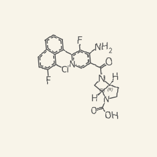 Nc1c(C(=O)N2C[C@@H]3[C@H]2CCN3C(=O)O)cnc(-c2cccc3ccc(F)c(Cl)c23)c1F